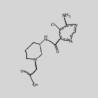 Nc1ncnc(C(=O)NC2CCCN(CC(=O)O)C2)c1Cl